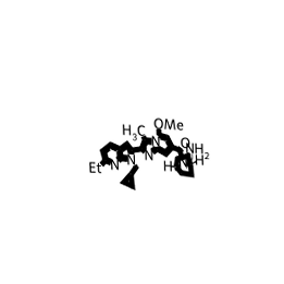 CCc1ccc2cc(-c3nc4cc(C(=O)N5[C@H]6CC[C@@H]5[C@H](N)C6)cc(OC)n4c3C)n(CC3CC3)c2n1